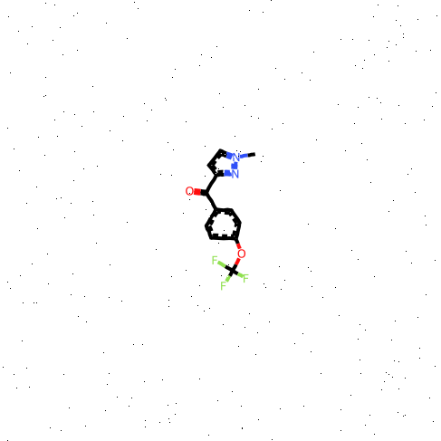 Cn1ccc(C(=O)c2ccc(OC(F)(F)F)cc2)n1